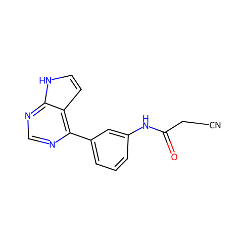 N#CCC(=O)Nc1cccc(-c2ncnc3[nH]ccc23)c1